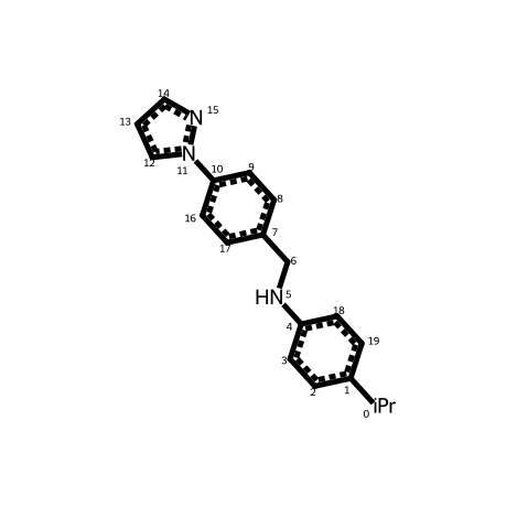 CC(C)c1ccc(NCc2ccc(-n3cccn3)cc2)cc1